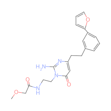 COCC(=O)NCCn1c(N)nc(CCc2cccc(-c3ccco3)c2)cc1=O